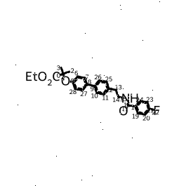 CCOC(=O)C(C)(C)Oc1ccc(-c2ccc(CCNC(=O)c3ccc(F)cc3)cc2)cc1